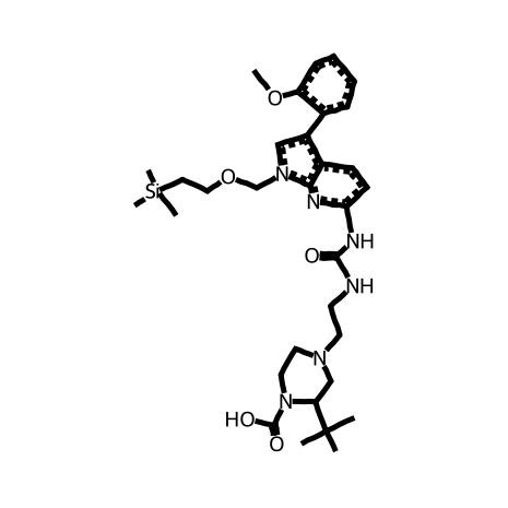 COc1ccccc1-c1cn(COCC[Si](C)(C)C)c2nc(NC(=O)NCCN3CCN(C(=O)O)C(C(C)(C)C)C3)ccc12